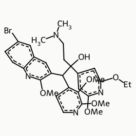 CCOc1cc(C(O)(CCN(C)C)C(c2cc3cc(Br)ccc3nc2OC)c2ccnc(OC)c2OC)cc(OC)n1